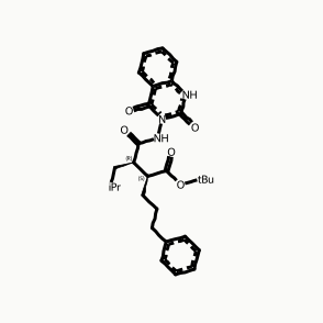 CC(C)C[C@@H](C(=O)Nn1c(=O)[nH]c2ccccc2c1=O)[C@H](CCCc1ccccc1)C(=O)OC(C)(C)C